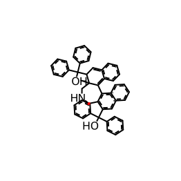 CC12CNCc3c(C(O)(c4ccccc4)c4ccccc4)cc4ccccc4c3C1=c1ccccc1=CC2C(O)(c1ccccc1)c1ccccc1